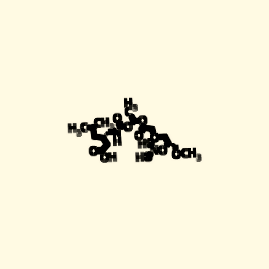 COC[C@@H](COCC(=O)OC(C)OC(=O)NC[C@H](CC(=O)O)CC(C)C)ON(O)O